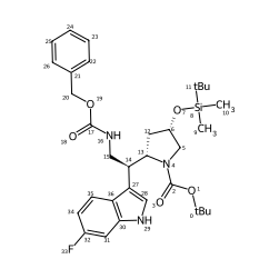 CC(C)(C)OC(=O)N1C[C@@H](O[Si](C)(C)C(C)(C)C)C[C@H]1[C@H](CNC(=O)OCc1ccccc1)c1c[nH]c2cc(F)ccc12